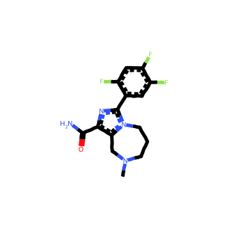 CN1CCCn2c(-c3cc(F)c(F)cc3F)nc(C(N)=O)c2C1